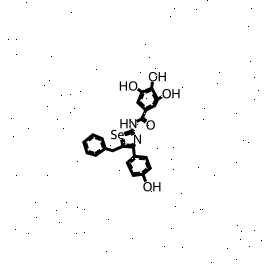 O=C(Nc1nc(-c2ccc(O)cc2)c(Cc2ccccc2)[se]1)c1cc(O)c(O)c(O)c1